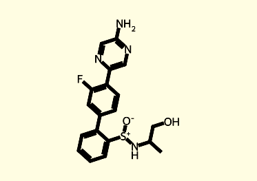 CC(CO)N[S+]([O-])c1ccccc1-c1ccc(-c2cnc(N)cn2)c(F)c1